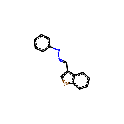 C(=NNc1ccccc1)c1csc2ccccc12